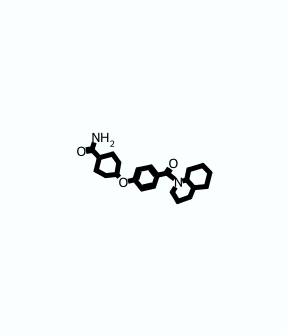 NC(=O)C1CCC(Oc2ccc(C(=O)N3CCCC4CCCCC43)cc2)CC1